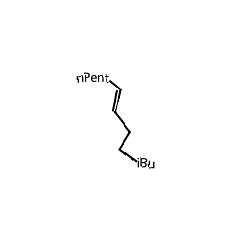 CCCCCC=CCCC(C)CC